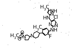 Cc1cc(Nc2nc(Nc3cc(C)c(C4CCN(C5CCN(S(C)(=O)=O)C5)CC4)cc3F)ncc2Cl)n[nH]1